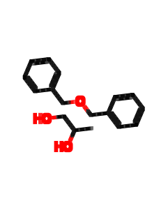 CC(O)CO.c1ccc(COCc2ccccc2)cc1